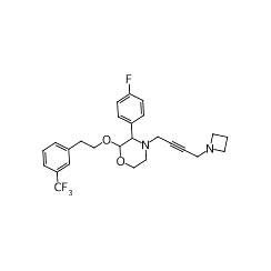 Fc1ccc(C2C(OCCc3cccc(C(F)(F)F)c3)OCCN2CC#CCN2CCC2)cc1